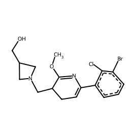 COC1=NC(c2cccc(Br)c2Cl)=CCC1CN1CC(CO)C1